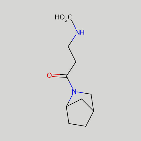 O=C(O)NCCC(=O)N1CC2CCC1C2